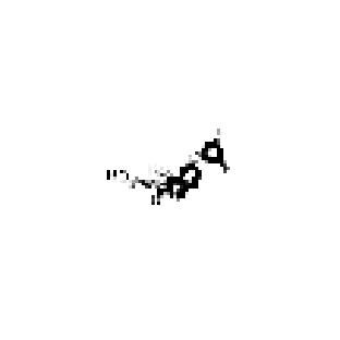 O=C(O)CNC(=O)c1ncc2ccc(Oc3cc(F)cc(F)c3)cc2c1O